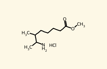 COC(=O)CCCCC(C)C(C)N.Cl